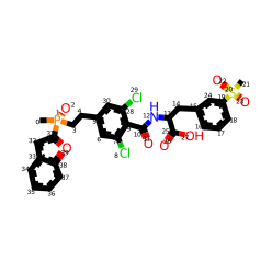 CP(=O)(CCc1cc(Cl)c(C(=O)NC(Cc2cccc(S(C)(=O)=O)c2)C(=O)O)c(Cl)c1)c1cc2ccccc2o1